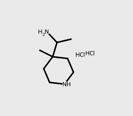 CC(N)C1(C)CCNCC1.Cl.Cl